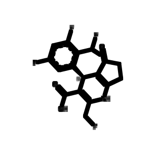 CC(F)c1c(F)cc(F)cc1[C@@H]1C(C(=O)O)=C(CF)NC2=C1C(=O)CC2